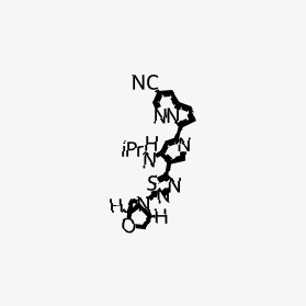 CC(C)Nc1cc(-c2ccc3cc(C#N)cnn23)ncc1-c1nnc(N2C[C@@H]3C[C@H]2CO3)s1